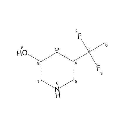 CC(F)(F)C1CNCC(O)C1